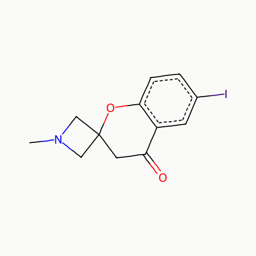 CN1CC2(CC(=O)c3cc(I)ccc3O2)C1